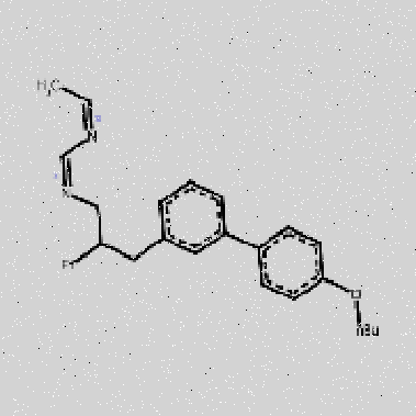 C/C=N\C=N/CC(CC)Cc1cccc(-c2ccc(OCCCC)cc2)c1